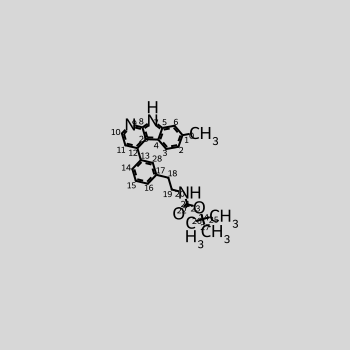 Cc1ccc2c(c1)[nH]c1nccc(-c3cccc(CCNC(=O)OC(C)(C)C)c3)c12